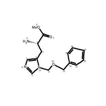 COC(=O)[C@@H](N)Cc1cncn1COCc1ccccc1